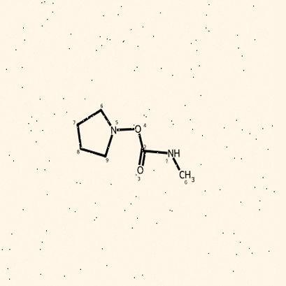 CNC(=O)ON1CCCC1